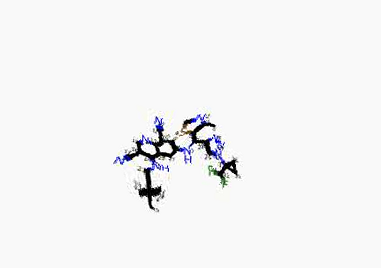 Cc1ncsc1[C@H](Nc1cc(C#N)c2ncc(C#N)c(NCC(C)(C)C)c2c1)c1cn(C2(C(F)F)CC2)nn1